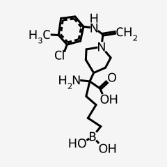 C=C(Nc1ccc(C)c(Cl)c1)N1CCC(C(N)(CCCCB(O)O)C(=O)O)CC1